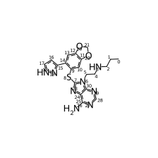 CCCNCCn1c(Sc2cc3c(cc2-c2cc[nH]n2)OCO3)nc2c(N)ncnc21